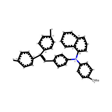 COc1ccc(N(c2ccc(C=C(c3ccc(C)cc3)c3ccc(C)cc3)cc2)c2cccc3ccccc23)cc1